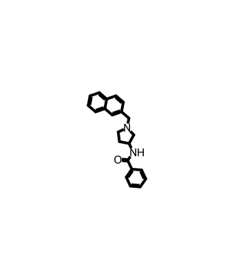 O=C(NC1CCN(Cc2ccc3ccccc3c2)C1)c1ccccc1